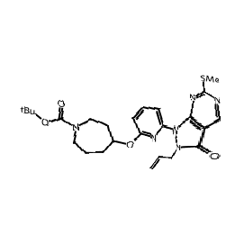 C=CCn1c(=O)c2cnc(SC)nc2n1-c1cccc(OC2CCCN(C(=O)OC(C)(C)C)CC2)n1